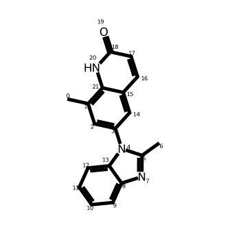 Cc1cc(-n2c(C)nc3ccccc32)cc2ccc(=O)[nH]c12